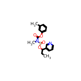 CCC(OS(=O)N(C)C(=O)Oc1cccc(C)c1)c1cccnc1